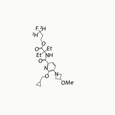 [2H]C([2H])(F)CCOC(=O)C(CC)(CC)NC(=O)c1ccc(N2CC(OC)C2)c(OCC2CC2)n1